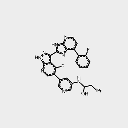 CC(C)CC(O)Nc1cncc(-c2cnc3[nH]nc(-c4nc5c(-c6ccccc6F)ccnc5[nH]4)c3c2F)c1